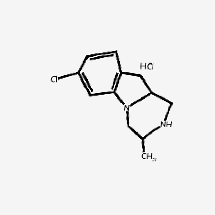 CC1CN2c3cc(Cl)ccc3CC2CN1.Cl